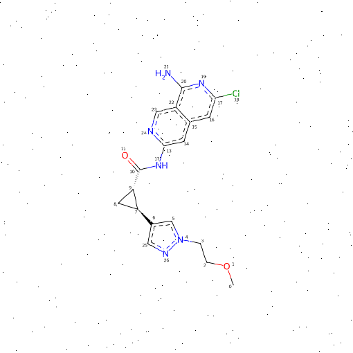 COCCn1cc([C@H]2C[C@@H]2C(=O)Nc2cc3cc(Cl)nc(N)c3cn2)cn1